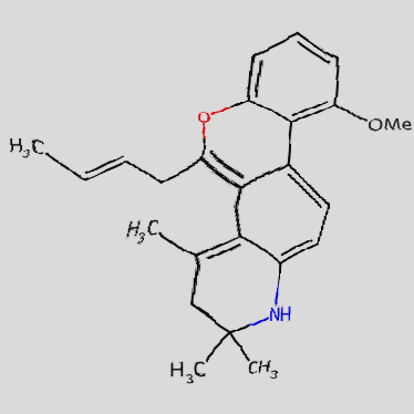 CC=CCC1=c2c(ccc3c2=C(C)CC(C)(C)N3)-c2c(OC)cccc2O1